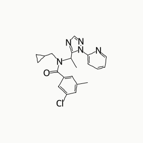 Cc1cc(Cl)cc(C(=O)N(CC2CC2)C(C)c2ncnn2-c2ccccn2)c1